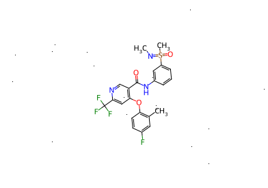 CN=S(C)(=O)c1cccc(NC(=O)c2cnc(C(F)(F)F)cc2Oc2ccc(F)cc2C)c1